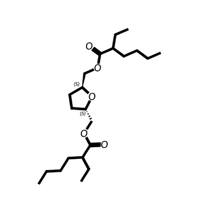 CCCCC(CC)C(=O)OC[C@@H]1CC[C@@H](COC(=O)C(CC)CCCC)O1